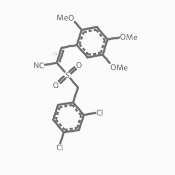 COc1cc(OC)c(OC)cc1/C=C(/C#N)S(=O)(=O)Cc1ccc(Cl)cc1Cl